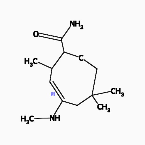 CN/C1=C/C(C)C(C(N)=O)CCC(C)(C)C1